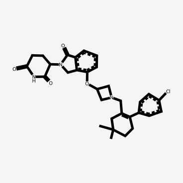 CC1(C)CCC(c2ccc(Cl)cc2)=C(CN2CC(Oc3cccc4c3CN(C3CCC(=O)NC3=O)C4=O)C2)C1